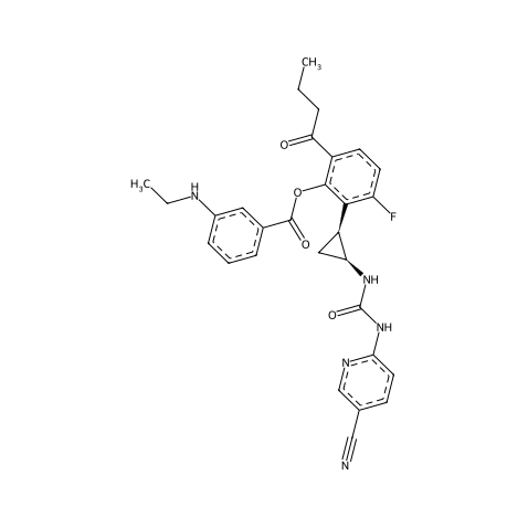 CCCC(=O)c1ccc(F)c([C@@H]2C[C@@H]2NC(=O)Nc2ccc(C#N)cn2)c1OC(=O)c1cccc(NCC)c1